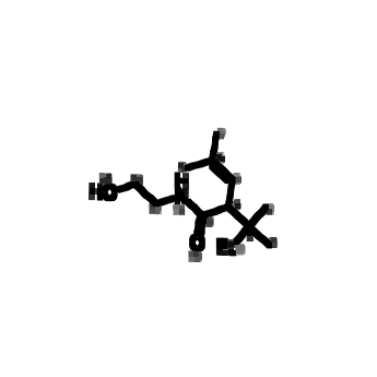 CCC(C)(C)C(C=C(C)C)C(=O)NCCO